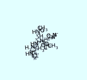 CC(=O)NCCCCC(CNC(CCC(=O)C=[N+]=[N-])C(=O)OC(C)C)NCC(N)Cc1c[nH]c2ccccc12